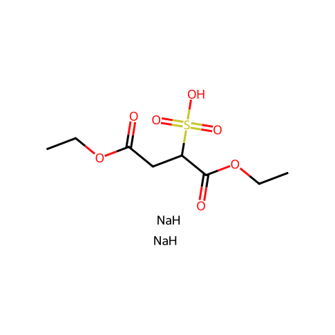 CCOC(=O)CC(C(=O)OCC)S(=O)(=O)O.[NaH].[NaH]